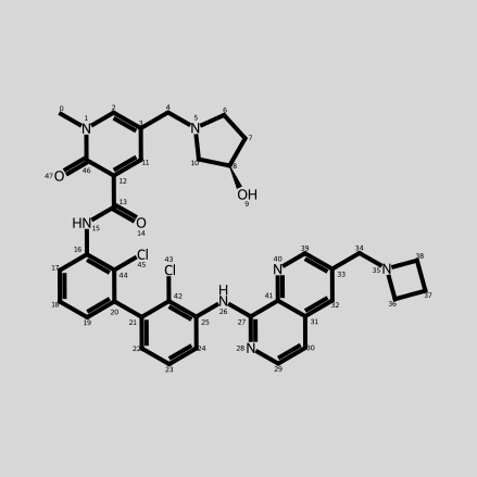 Cn1cc(CN2CC[C@@H](O)C2)cc(C(=O)Nc2cccc(-c3cccc(Nc4nccc5cc(CN6CCC6)cnc45)c3Cl)c2Cl)c1=O